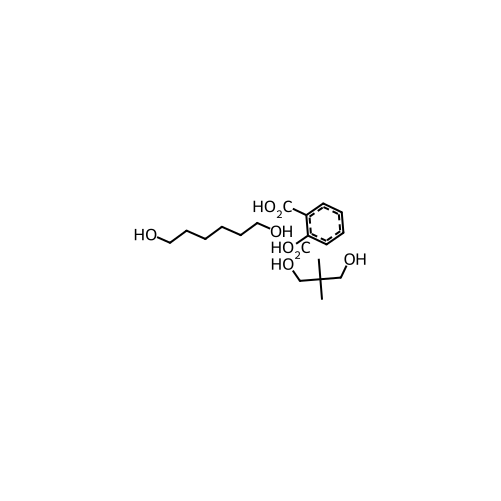 CC(C)(CO)CO.O=C(O)c1ccccc1C(=O)O.OCCCCCCO